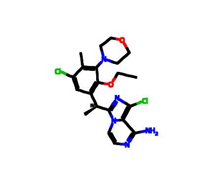 CCOc1c([C@H](C)c2nc(Cl)c3c(N)nccn23)cc(Cl)c(C)c1N1CCOCC1